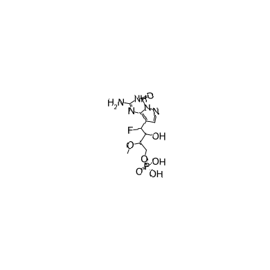 COC(COP(=O)(O)O)C(O)C(F)c1cnn2c(=O)[nH]c(N)nc12